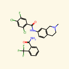 CN1CCc2ccc(NC(=O)c3cc(F)c(Cl)cc3Cl)cc2C1.NC(=O)c1ccccc1C(F)(F)F